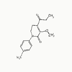 CCC(=O)C1=C(OC)C(=O)N(c2ccc(C)cc2)CC1